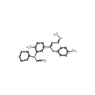 C=CN(c1ccccc1)c1cc(/C(=C/C=N\C)Cc2ccc(C)cc2)ccc1C